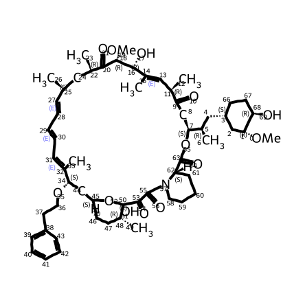 CO[C@@H]1C[C@H](C[C@@H](C)[C@@H]2CC(=O)[C@H](C)/C=C(\C)[C@@H](O)[C@@H](OC)C(=O)[C@H](C)C[C@H](C)/C=C/C=C/C=C(\C)[C@@H](OCCc3ccccc3)C[C@@H]3CC[C@@H](C)[C@@](O)(O3)C(=O)C(=O)N3CCCC[C@H]3C(=O)O2)CC[C@H]1O